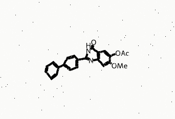 COc1cc2nc(-c3ccc(-c4ccccc4)cc3)[nH]c(=O)c2cc1OC(C)=O